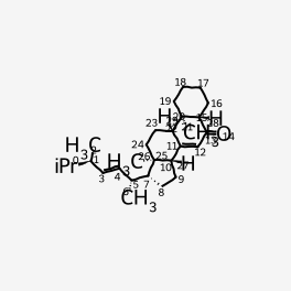 CC(C)[C@@H](C)C=C[C@@H](C)[C@H]1CC[C@H]2C3=CC(=O)[C@H]4CCCC[C@]4(C)[C@H]3CC[C@]12C